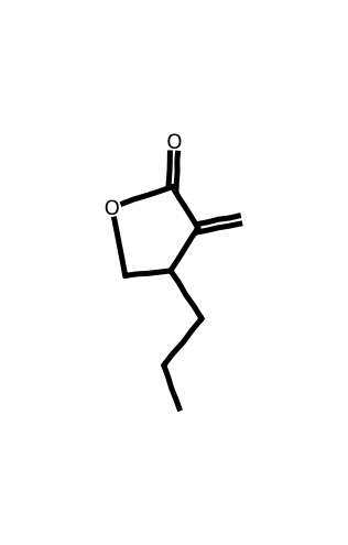 C=C1C(=O)OCC1CCC